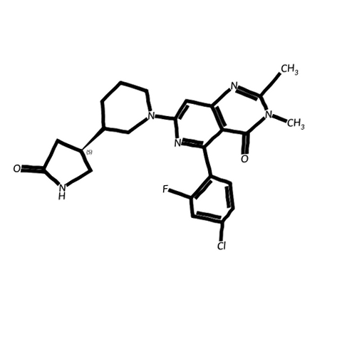 Cc1nc2cc(N3CCCC([C@H]4CNC(=O)C4)C3)nc(-c3ccc(Cl)cc3F)c2c(=O)n1C